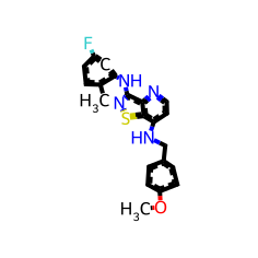 COc1ccc(CNc2ccnc3c(Nc4cc(F)ccc4C)nsc23)cc1